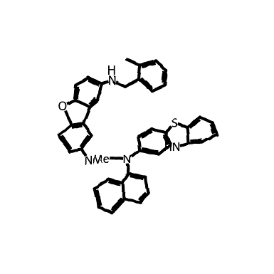 CN(c1ccc2c(c1)Nc1ccccc1S2)c1cccc2ccccc12.CNc1ccc2oc3ccc(NCc4ccccc4C)cc3c2c1